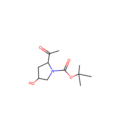 CC(=O)C1CC(O)CN1C(=O)OC(C)(C)C